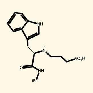 CC(C)NC(=O)[C@H](Cc1c[nH]c2ccccc12)NCCCS(=O)(=O)O